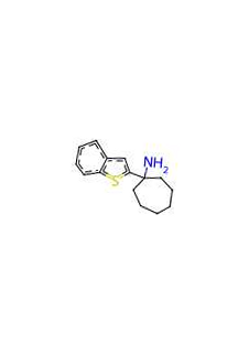 NC1(c2cc3ccccc3s2)CCCCCC1